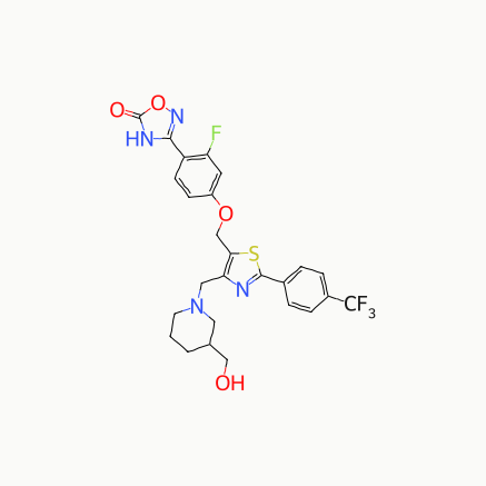 O=c1[nH]c(-c2ccc(OCc3sc(-c4ccc(C(F)(F)F)cc4)nc3CN3CCCC(CO)C3)cc2F)no1